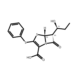 CC[C@H](O)[C@@H]1C(=O)N2C(C(=O)O)=C(Sc3ccccc3)S[C@H]12